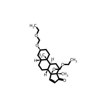 CCOCO[C@H]1CC[C@@]2(C)[C@H](CC[C@@H]3[C@@H]2CC[C@]2(C)C(=O)C=C[C@]32OCOCC)C1